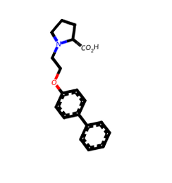 O=C(O)C1CCCN1CCOc1ccc(-c2ccccc2)cc1